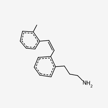 Cc1ccccc1/C=C\c1ccccc1CCCN